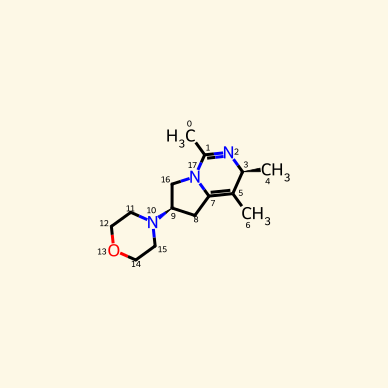 CC1=N[C@@H](C)C(C)=C2C[C@@H](N3CCOCC3)CN12